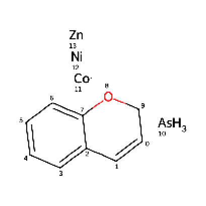 C1=Cc2ccccc2OC1.[AsH3].[Co].[Ni].[Zn]